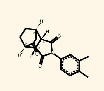 Cc1ccc(N2C(=O)[C@H]3[C@@H]4CC[C@@H](C(=O)C4)[C@H]3C2=O)cc1C